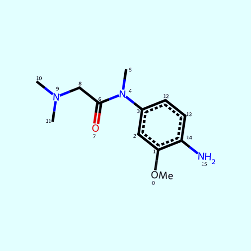 COc1cc(N(C)C(=O)CN(C)C)ccc1N